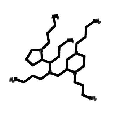 NCCCN1CCN(CCCN)C(CN(CCCN)C(CCN)C2CCCN2CCCN)C1